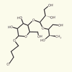 C[C@@H](O)C(CO)OC(OC1C(CO)OC(OCCCCl)C(O)C1O)[C@@H](O)CO